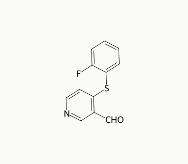 O=Cc1cnccc1Sc1ccccc1F